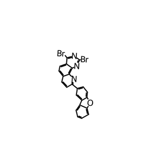 Brc1nc(Br)c2ccc3ccc(-c4ccc5oc6ccccc6c5c4)nc3c2n1